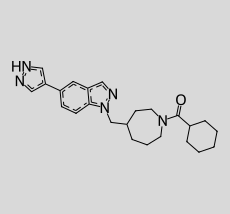 O=C(C1CCCCC1)N1CCCC(Cn2ncc3cc(-c4cn[nH]c4)ccc32)CC1